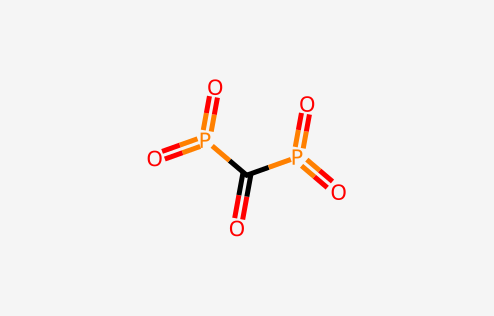 O=C(P(=O)=O)P(=O)=O